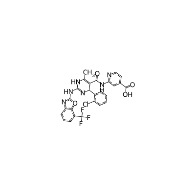 CC1=C(C(=O)Nc2cc(C(=O)O)ccn2)C(c2ccccc2Cl)N=C(Nc2nc3cccc(C(F)(F)F)c3o2)N1